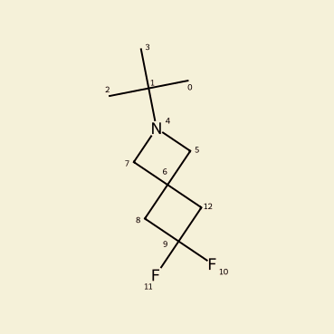 CC(C)(C)N1CC2(C1)CC(F)(F)C2